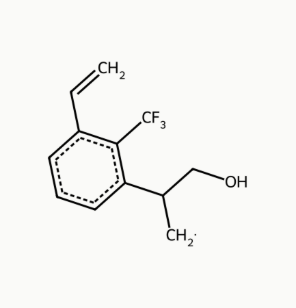 [CH2]C(CO)c1cccc(C=C)c1C(F)(F)F